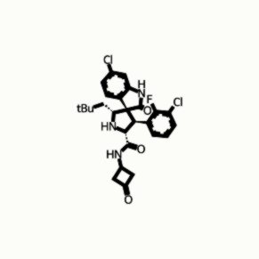 CC(C)(C)C[C@H]1N[C@@H](C(=O)NC2CC(=O)C2)[C@H](c2cccc(Cl)c2F)[C@@]12C(=O)Nc1cc(Cl)ccc12